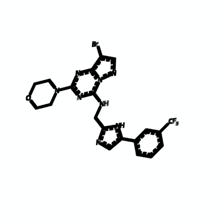 FC(F)(F)c1cccc(-c2cnc(CNc3nc(N4CCOCC4)nc4c(Br)cnn34)[nH]2)c1